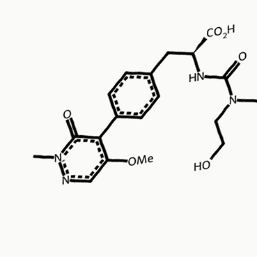 COc1cnn(C)c(=O)c1-c1ccc(C[C@H](NC(=O)N(C)CCO)C(=O)O)cc1